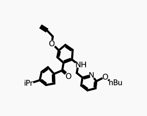 C#CCOc1ccc(NCc2cccc(OCCCC)n2)c(C(=O)c2ccc(C(C)C)cc2)c1